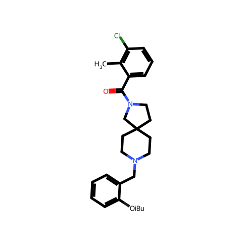 Cc1c(Cl)cccc1C(=O)N1CCC2(CCN(Cc3ccccc3OCC(C)C)CC2)C1